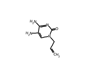 C=CCn1cc(N)c(N)nc1=O